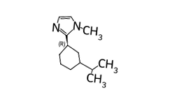 CC(C)C1CCC[C@@H](c2nccn2C)C1